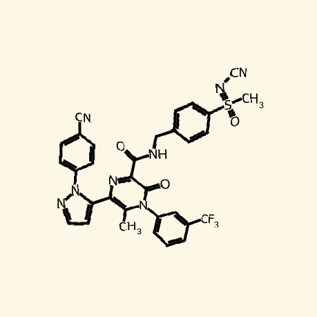 Cc1c(-c2ccnn2-c2ccc(C#N)cc2)nc(C(=O)NCc2ccc(S(C)(=O)=NC#N)cc2)c(=O)n1-c1cccc(C(F)(F)F)c1